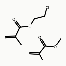 C=C(C)C(=O)OC.C=C(C)C(=O)OCCCl